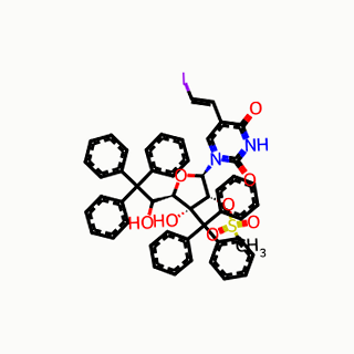 CS(=O)(=O)O[C@H]1[C@H](n2cc(C=CI)c(=O)[nH]c2=O)O[C@H](C(O)C(c2ccccc2)(c2ccccc2)c2ccccc2)[C@]1(O)C(c1ccccc1)(c1ccccc1)c1ccccc1